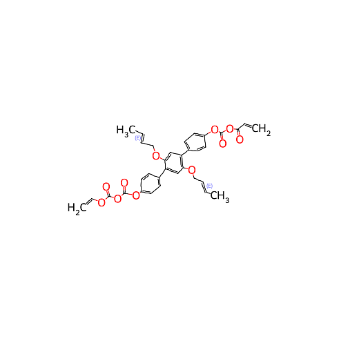 C=COC(=O)OC(=O)Oc1ccc(-c2cc(OC/C=C/C)c(-c3ccc(OC(=O)OC(=O)C=C)cc3)cc2OC/C=C/C)cc1